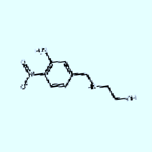 Nc1cc(CNCCO)ccc1[N+](=O)[O-]